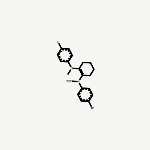 CN(C1=C(N(C=O)c2ccc(Br)cc2)CCCC1)c1ccc(Br)cc1